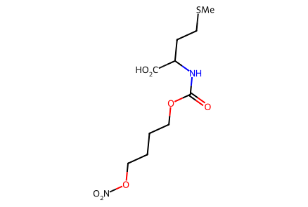 CSCCC(NC(=O)OCCCCO[N+](=O)[O-])C(=O)O